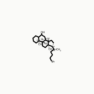 CC(C)CCC[C@@H](C)[C@H]1CC[C@H]2[C@@H]3CC(O)C4CCCC[C@]4(C)[C@H]3CC[C@]12C